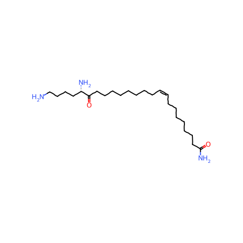 NCCCC[C@H](N)C(=O)CCCCCCCC/C=C\CCCCCCCC(N)=O